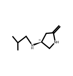 C=C1C[C@H](NCC(C)C)CN1